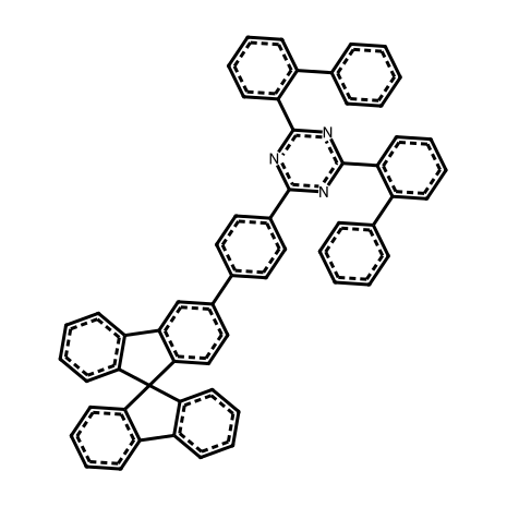 c1ccc(-c2ccccc2-c2nc(-c3ccc(-c4ccc5c(c4)-c4ccccc4C54c5ccccc5-c5ccccc54)cc3)nc(-c3ccccc3-c3ccccc3)n2)cc1